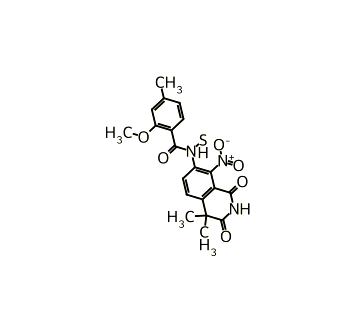 COc1cc(C)ccc1C(=O)N(S)c1ccc2c(c1[N+](=O)[O-])C(=O)NC(=O)C2(C)C